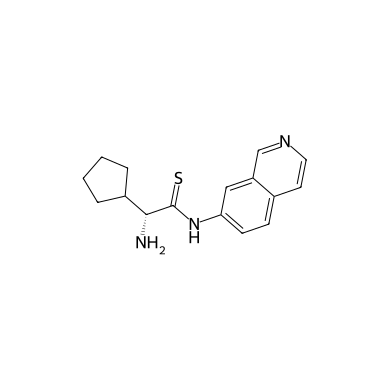 N[C@@H](C(=S)Nc1ccc2ccncc2c1)C1CCCC1